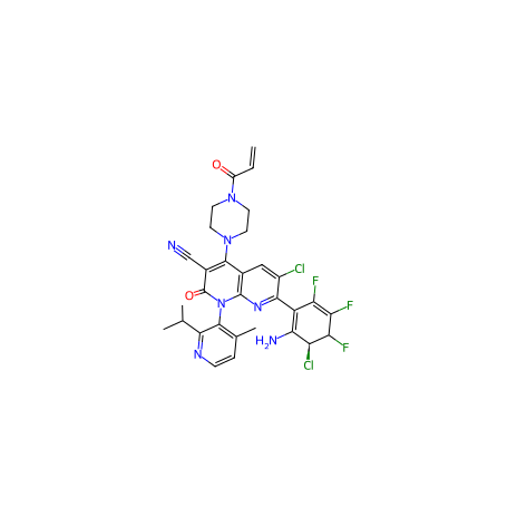 C=CC(=O)N1CCN(c2c(C#N)c(=O)n(-c3c(C)ccnc3C(C)C)c3nc(C4=C(N)[C@H](Cl)C(F)C(F)=C4F)c(Cl)cc23)CC1